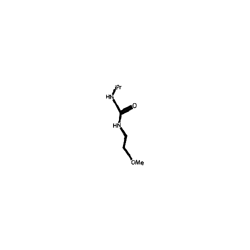 COCCNC(=O)NC(C)C